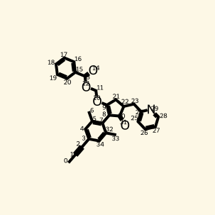 CC#Cc1cc(C)c(C2=C(OCOC(=O)c3ccccc3)CC(Cc3ccccn3)C2=O)c(C)c1